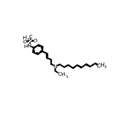 CCCCCCCCCCN(CC)CCC=Cc1ccc(NS(C)(=O)=O)cc1